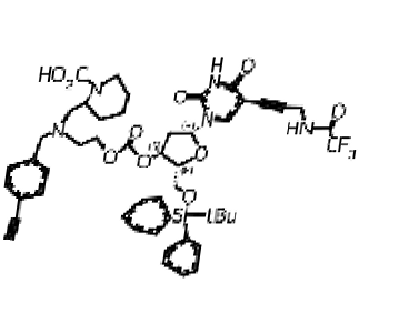 C#Cc1ccc(CN(CCOC(=O)O[C@H]2C[C@H](n3cc(C#CCNC(=O)C(F)(F)F)c(=O)[nH]c3=O)O[C@@H]2CO[Si](c2ccccc2)(c2ccccc2)C(C)(C)C)CC2CCCCN2C(=O)O)cc1